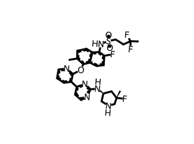 Cc1ccc2c(NS(=O)(=O)CCC(C)(F)F)c(F)ccc2c1Oc1ncccc1-c1ccnc(N[C@@H]2CNC[C@@](C)(F)C2)n1